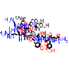 CC[C@H](C)[C@H](NC(=O)[C@H](CCSC)NC(=O)[C@H](CCCCN)NC(=O)[C@H](CCCNC(=N)N)NC(=O)[C@@H](NC(=O)[C@@H](NC(=O)[C@H](Cc1ccc(O)cc1)NC(=O)[C@H](CS)NC(=O)[C@H](C)NC(=O)[C@H](Cc1ccc(O)cc1)NC(=O)[C@@H](N)CCC(N)=O)C(C)C)C(C)C)C(=O)N[C@@H](CC(=O)O)C(=O)N[C@H](C(=O)O)C(C)C